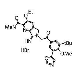 Br.CCOc1cc2c(nc1C(=O)NC)C(=N)N(CC(=O)c1cc(-c3cnco3)c(OC)c(C(C)(C)C)c1)C2